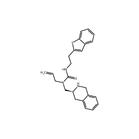 C=CCN(C[C@@H]1Cc2ccccc2CN1)C(=O)NCCc1cc2ccccc2s1